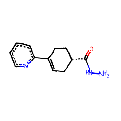 NNC(=O)[C@@H]1CC=C(c2ccccn2)CC1